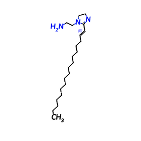 CCCCCCCCCCCCCCC/C=C/C1=NCCN1CCN